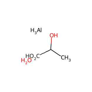 CC(O)C(=O)O.O.[AlH3]